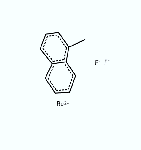 Cc1cccc2ccccc12.[F-].[F-].[Ru+2]